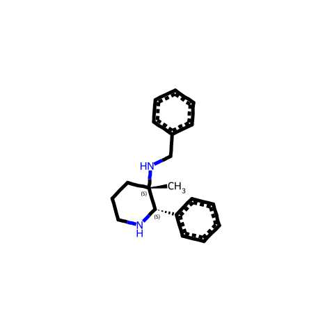 C[C@]1(NCc2ccccc2)CCCN[C@H]1c1ccccc1